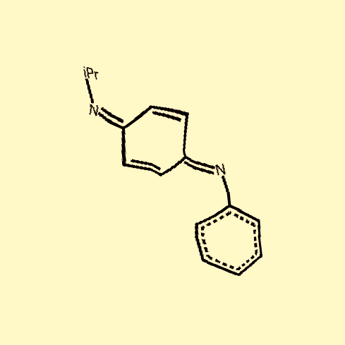 CC(C)N=C1C=CC(=Nc2ccccc2)C=C1